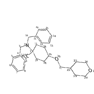 CC1(N(Cc2ccccc2)Cc2ccccc2)CCC(OCC2CCOCC2)CC1